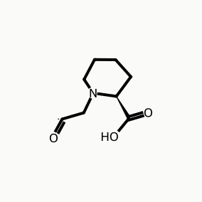 O=[C]CN1CCCC[C@H]1C(=O)O